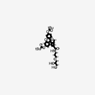 CC(C)(C)C(=O)Oc1ccc2c(c1)Oc1cc(OC(=O)C(C)(C)C)ccc1C21OCc2cc(C(=O)NCCCOCC(O)CO)ccc21